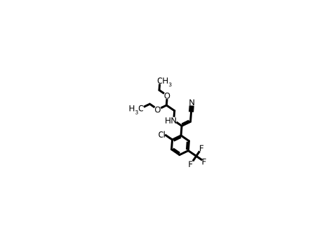 CCOC(CNC(=CC#N)c1cc(C(F)(F)F)ccc1Cl)OCC